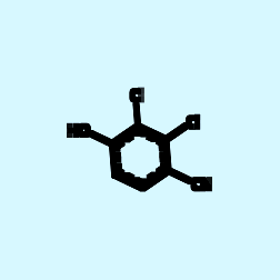 N#Cc1ccc(O)c(Cl)c1Cl